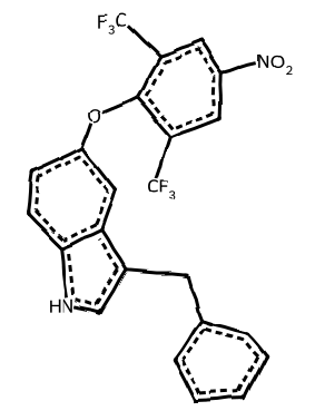 O=[N+]([O-])c1cc(C(F)(F)F)c(Oc2ccc3[nH]cc(Cc4ccccc4)c3c2)c(C(F)(F)F)c1